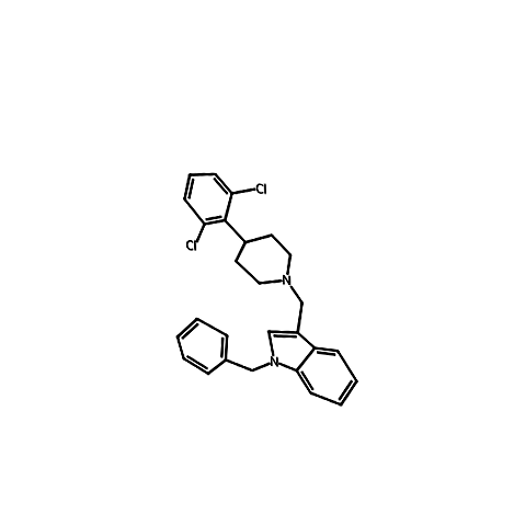 Clc1cccc(Cl)c1C1CCN(Cc2cn(Cc3ccccc3)c3ccccc23)CC1